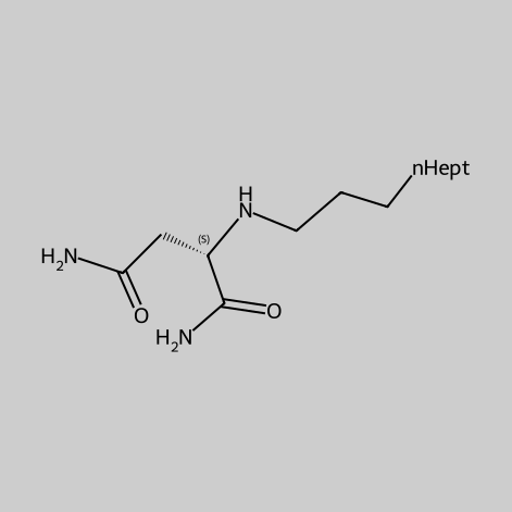 CCCCCCCCCCN[C@@H](CC(N)=O)C(N)=O